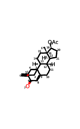 C#CCC12CCC(=O)C=C1CC[C@@H]1[C@@H]2CC[C@]2(C)[C@@H](OC(C)=O)CC[C@@H]12